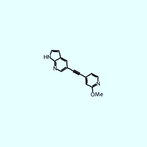 COc1cc(C#Cc2cnc3[nH]ccc3c2)ccn1